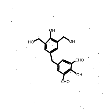 O=Cc1cc(Cc2cc(CO)c(O)c(CO)c2)cc(C=O)c1O